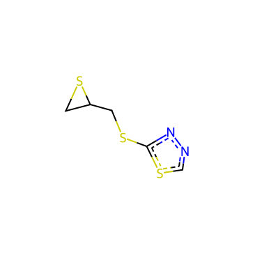 c1nnc(SCC2CS2)s1